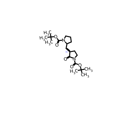 CC(C)(C)OC(=O)N1CC/C(=C\C2CCCN2C(=O)OC(C)(C)C)C1=O